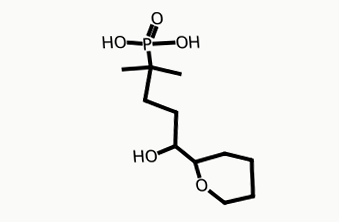 CC(C)(CCC(O)C1CCCCO1)P(=O)(O)O